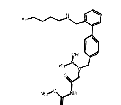 CCCCOC(=O)NC(=O)CN(Cc1ccc(-c2ccccc2CNCCCCC(C)=O)cc1)N(C)CCC